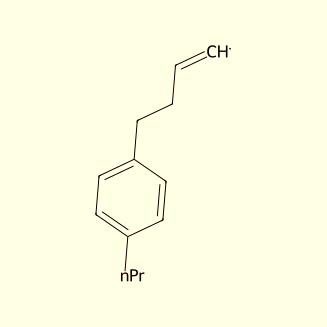 [CH]=CCCc1ccc(CCC)cc1